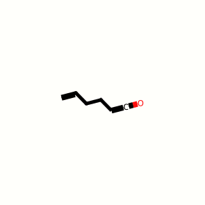 C=CC[CH]C=C=O